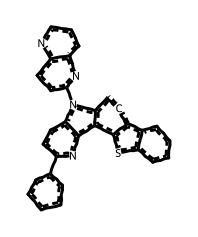 c1ccc(-c2ccc3c(n2)c2c4sc5ccccc5c4ccc2n3-c2ccc3ncccc3n2)cc1